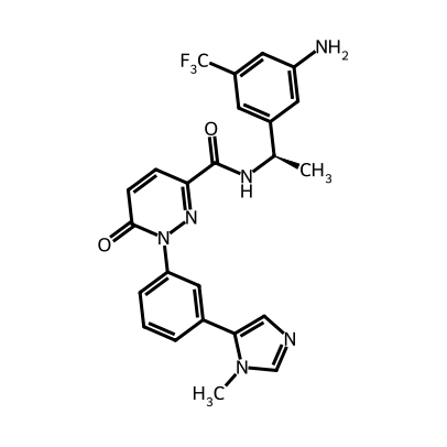 C[C@@H](NC(=O)c1ccc(=O)n(-c2cccc(-c3cncn3C)c2)n1)c1cc(N)cc(C(F)(F)F)c1